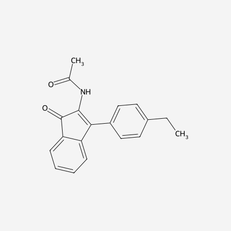 CCc1ccc(C2=C(NC(C)=O)C(=O)c3ccccc32)cc1